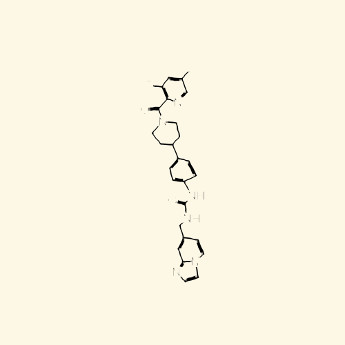 O=C(NCc1ccn2ccnc2c1)Nc1ccc(C2CCN(C(=O)c3ncc(F)cc3F)CC2)cc1